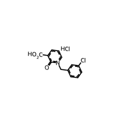 Cl.O=C(O)c1cccn(Cc2cccc(Cl)c2)c1=O